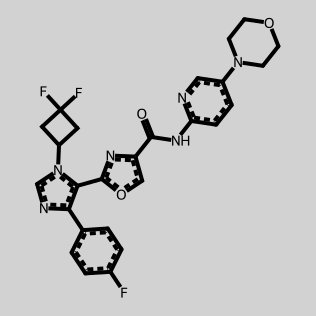 O=C(Nc1ccc(N2CCOCC2)cn1)c1coc(-c2c(-c3ccc(F)cc3)ncn2C2CC(F)(F)C2)n1